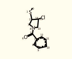 CSC1CN(C(=O)c2ccccc2)CC1Cl